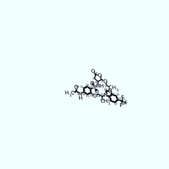 CCOC1OC(=O)CC1NS(=O)(=O)c1ccc(NC(C)=O)cc1OCC(C)n1cnc2cc(C(F)(F)F)ccc21